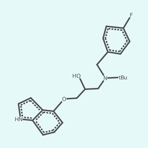 CC(C)(C)N(Cc1ccc(F)cc1)CC(O)COc1cccc2[nH]ccc12